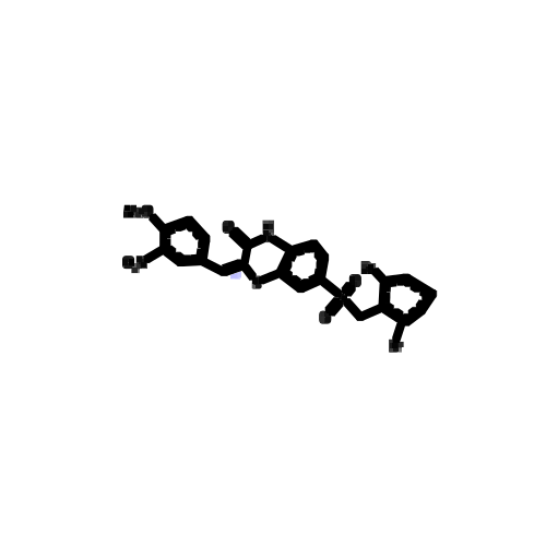 COc1ccc(/C=C2/Sc3cc(S(=O)(=O)Cc4c(Br)cccc4Br)ccc3NC2=O)cc1[N+](=O)[O-]